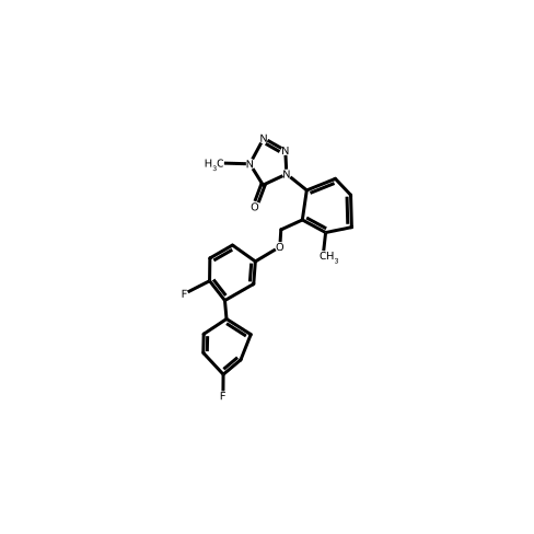 Cc1cccc(-n2nnn(C)c2=O)c1COc1ccc(F)c(-c2ccc(F)cc2)c1